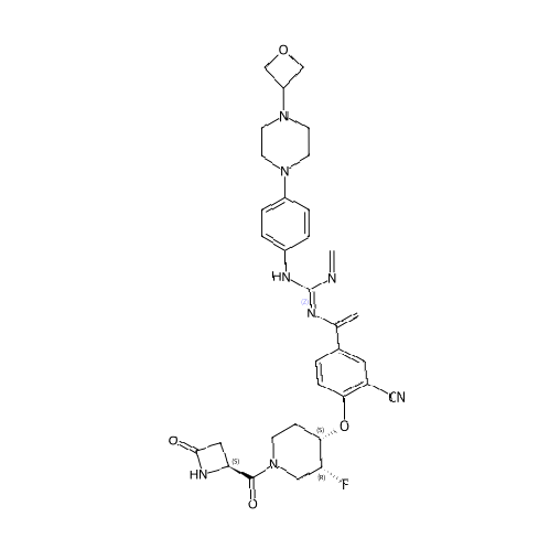 C=N/C(=N\C(=C)c1ccc(O[C@H]2CCN(C(=O)[C@@H]3CC(=O)N3)C[C@H]2F)c(C#N)c1)Nc1ccc(N2CCN(C3COC3)CC2)cc1